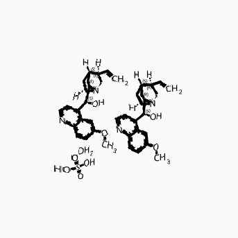 C=C[C@H]1C[N@]2CC[C@H]1C[C@@H]2[C@@H](O)c1ccnc2ccc(OC)cc12.C=C[C@H]1C[N@]2CC[C@H]1C[C@@H]2[C@@H](O)c1ccnc2ccc(OC)cc12.O.O=S(=O)(O)O